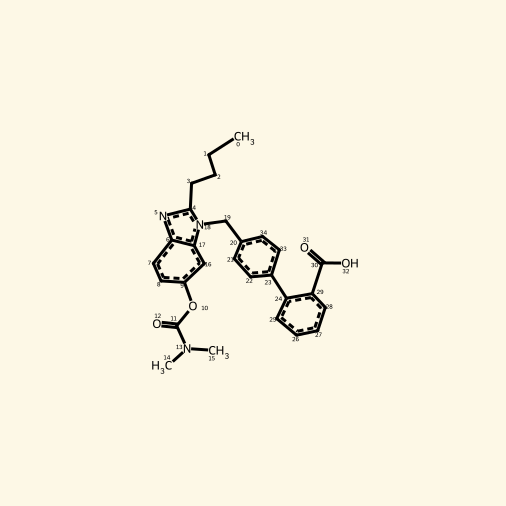 CCCCc1nc2ccc(OC(=O)N(C)C)cc2n1Cc1ccc(-c2ccccc2C(=O)O)cc1